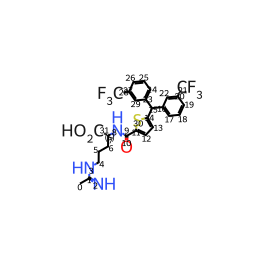 CC(=N)NCCC[C@H](NC(=O)c1ccc(C(c2cccc(C(F)(F)F)c2)c2cccc(C(F)(F)F)c2)s1)C(=O)O